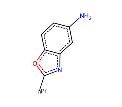 CCCc1nc2cc(N)ccc2o1